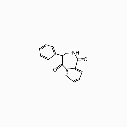 O=C1NCC(c2ccccc2)C(=O)c2ccccc21